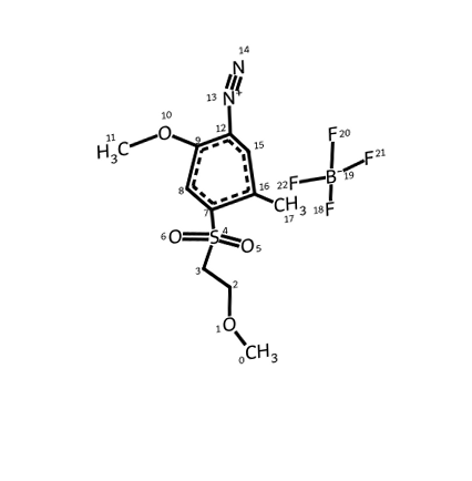 COCCS(=O)(=O)c1cc(OC)c([N+]#N)cc1C.F[B-](F)(F)F